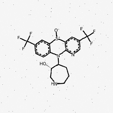 [O-][S+]1c2cc(C(F)(F)F)ccc2N(C2CCCNC[C@@H]2O)c2ncc(C(F)(F)F)cc21